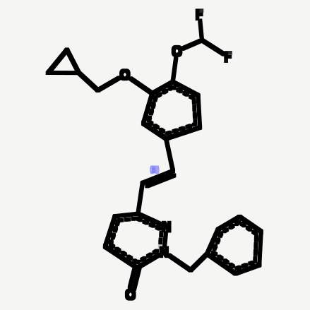 O=c1ccc(/C=C/c2ccc(OC(F)F)c(OCC3CC3)c2)nn1Cc1ccccc1